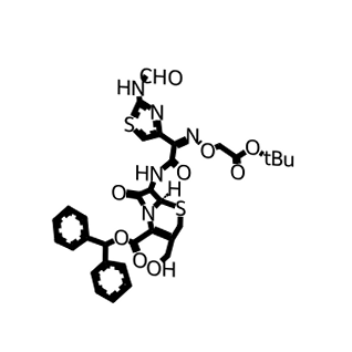 CC(C)(C)OC(=O)CO/N=C(\C(=O)NC1C(=O)N2C(C(=O)OC(c3ccccc3)c3ccccc3)=C(CO)CS[C@H]12)c1csc(NC=O)n1